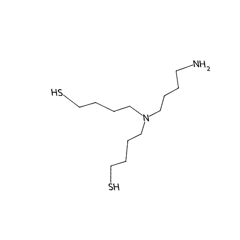 NCCCCN(CCCCS)CCCCS